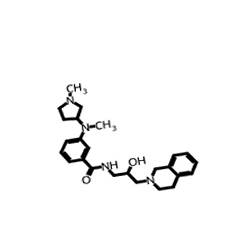 CN1CCC(N(C)c2cccc(C(=O)NCC(O)CN3CCc4ccccc4C3)c2)C1